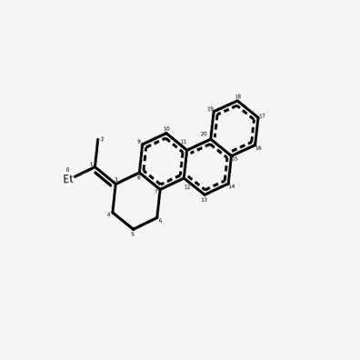 CCC(C)=C1CCCc2c1ccc1c2ccc2ccccc21